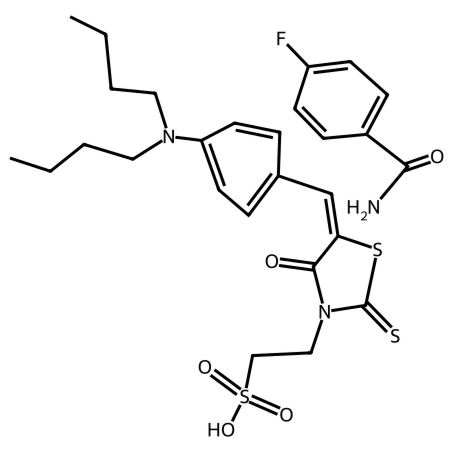 CCCCN(CCCC)c1ccc(C=C2SC(=S)N(CCS(=O)(=O)O)C2=O)cc1.NC(=O)c1ccc(F)cc1